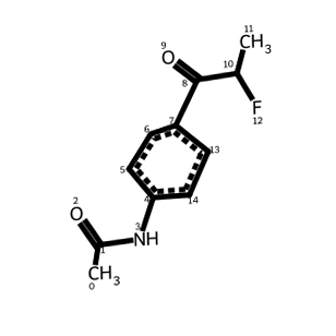 CC(=O)Nc1ccc(C(=O)C(C)F)cc1